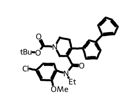 CCN(C(=O)C1=C(c2cccc(-c3ccccc3)c2)CCN(C(=O)OC(C)(C)C)C1)c1ccc(Cl)cc1OC